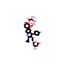 CC(C)OC(=O)[C@H](C)NP(=O)(COc1ccc2nc(C3CC3)c(/C=C/[C@@H]3C[C@@H](O)CC(=O)O3)c(-c3ccc(F)cc3)c2c1)Oc1ccccc1